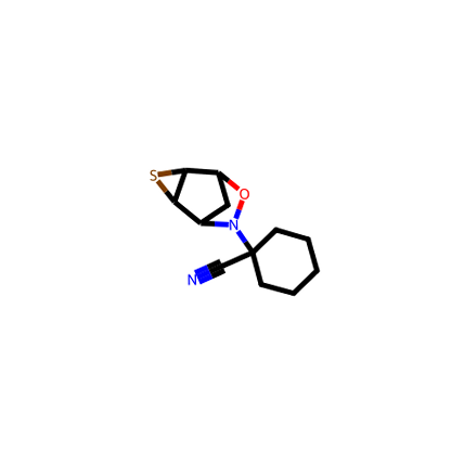 N#CC1(N2OC3CC2C2SC32)CCCCC1